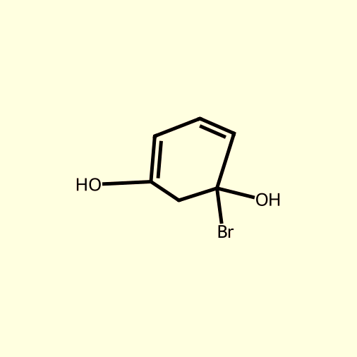 OC1=CC=CC(O)(Br)C1